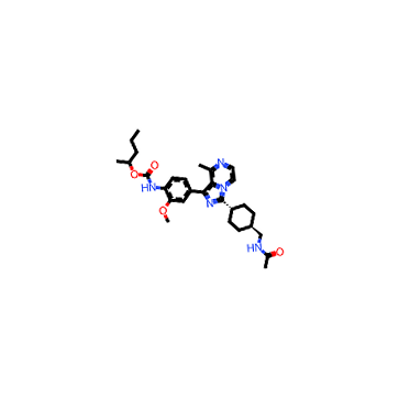 CCCC(C)OC(=O)Nc1ccc(-c2nc([C@H]3CC[C@H](CNC(C)=O)CC3)n3ccnc(C)c23)cc1OC